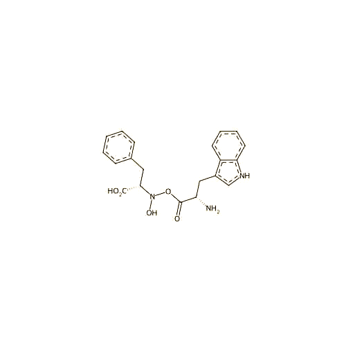 N[C@@H](Cc1c[nH]c2ccccc12)C(=O)ON(O)[C@@H](Cc1ccccc1)C(=O)O